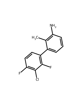 Cc1c(N)cccc1-c1ccc(F)c(Cl)c1F